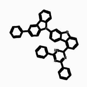 c1ccc(C2=NC(c3cccc4oc5cc(-n6c7ccccc7c7cc(-c8ccccc8)ccc76)ccc5c34)NC(c3ccccc3)=N2)cc1